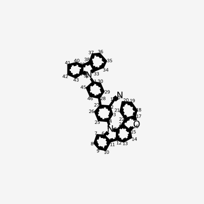 N#Cc1cc(-n2c3ccccc3c3ccc4oc5ccccc5c4c32)ccc1-c1ccc(-n2c3ccccc3c3ccccc32)cc1